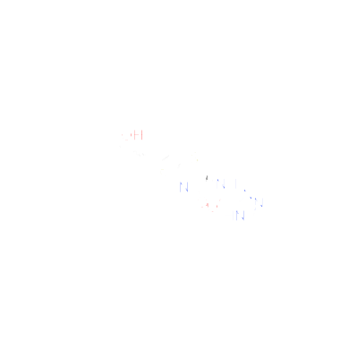 Cc1nnc(C(=O)N[C@H]2CSc3c(sc(C#CC4(O)CCCCC4)c3C)N(C)C2=O)[nH]1